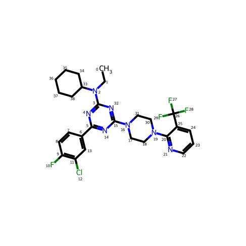 CCN(c1nc(-c2ccc(F)c(Cl)c2)nc(N2CCN(c3ncccc3C(F)(F)F)CC2)n1)C1CCCCC1